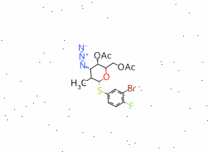 CC(=O)OCC1O[C@H](Sc2ccc(F)c(Br)c2)C(C)[C@@H](N=[N+]=[N-])[C@H]1OC(C)=O